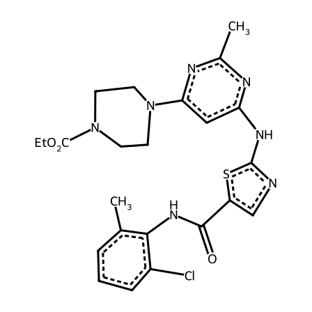 CCOC(=O)N1CCN(c2cc(Nc3ncc(C(=O)Nc4c(C)cccc4Cl)s3)nc(C)n2)CC1